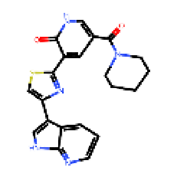 O=C(c1c[nH]c(=O)c(-c2nc(-c3c[nH]c4ncccc34)cs2)c1)N1CCCCC1